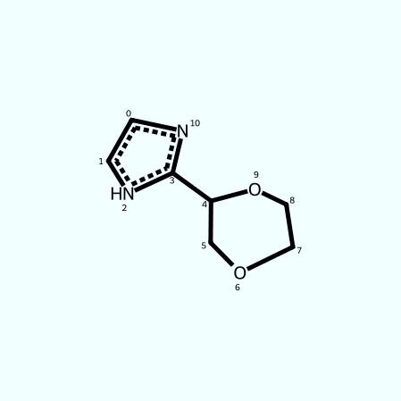 c1c[nH]c(C2COCCO2)n1